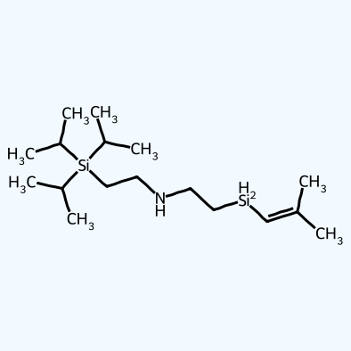 CC(C)=C[SiH2]CCNCC[Si](C(C)C)(C(C)C)C(C)C